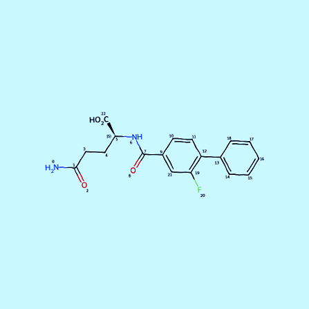 NC(=O)CC[C@H](NC(=O)c1ccc(-c2ccccc2)c(F)c1)C(=O)O